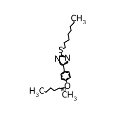 CCCCCCCCSc1ncc(-c2ccc(O[C@H](C)CCCCC)cc2)cn1